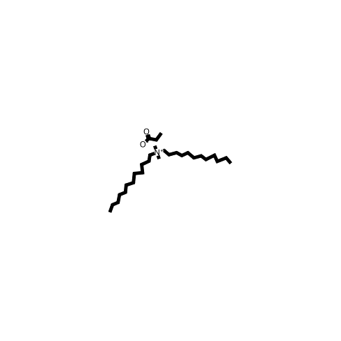 CCC(=O)[O-].CCCCCCCCCCCC[N+](C)(C)CCCCCCCCCCCC